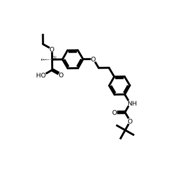 CCO[C@](C)(C(=O)O)c1ccc(OCCc2ccc(NC(=O)OC(C)(C)C)cc2)cc1